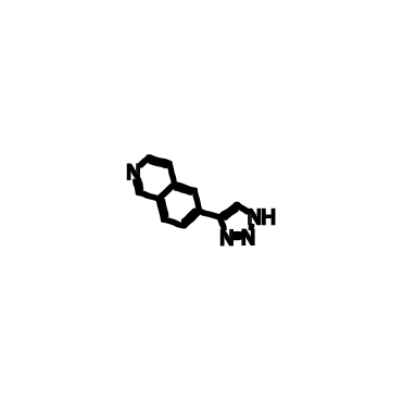 c1cc2cc(-c3c[nH]nn3)ccc2cn1